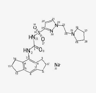 O=C(Nc1c2c(cc3c1CCC3)CCC2)NS(=O)(=O)c1ccn(CCN2CCCC2)n1.[Na]